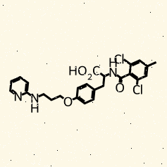 Cc1cc(Cl)c(C(=O)NC(Cc2ccc(OCCCNc3ccccn3)cc2)C(=O)O)c(Cl)c1